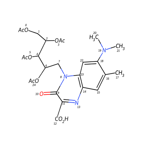 CC(=O)OCC(OC(C)=O)C(OC(C)=O)C(Cn1c(=O)c(C(=O)O)nc2cc(C)c(N(C)C)cc21)OC(C)=O